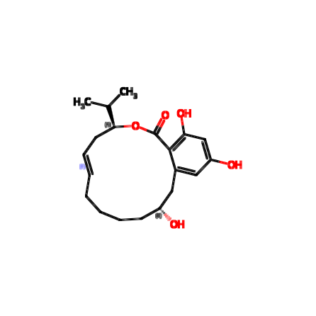 CC(C)[C@@H]1C/C=C/CCCC[C@@H](O)Cc2cc(O)cc(O)c2C(=O)O1